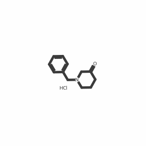 Cl.O=C1CCCN(Cc2ccccc2)C1